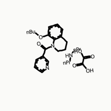 CCCCOc1cccc2c1N(C(=O)c1cccnc1)CCC2.CCCNCCC.O=C(O)C(=O)O